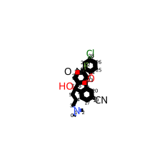 CN(C)CCCC(O)(c1ccc(F)cc1)c1ccc(C#N)cc1COc1ccc(Cl)cc1[N+](=O)[O-]